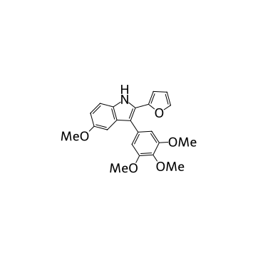 COc1ccc2[nH]c(-c3ccco3)c(-c3cc(OC)c(OC)c(OC)c3)c2c1